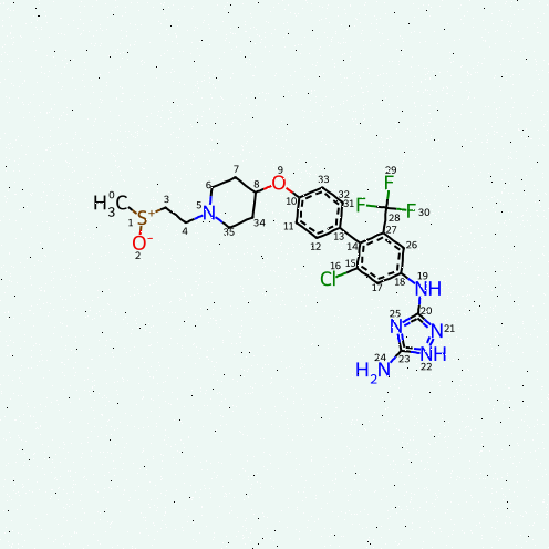 C[S+]([O-])CCN1CCC(Oc2ccc(-c3c(Cl)cc(Nc4n[nH]c(N)n4)cc3C(F)(F)F)cc2)CC1